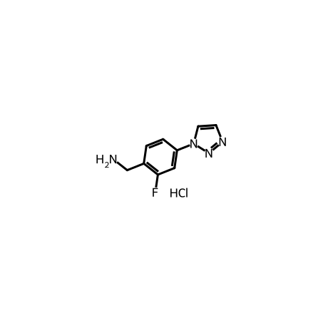 Cl.NCc1ccc(-n2ccnn2)cc1F